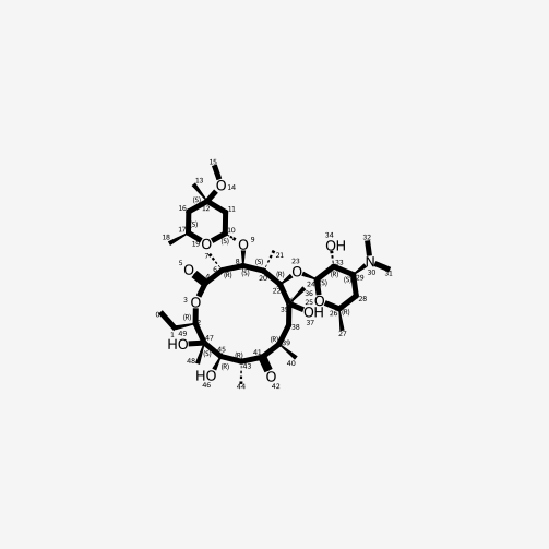 CC[C@H]1OC(=O)[C@H](C)[C@@H](O[C@H]2C[C@@](C)(OC)C[C@H](C)O2)[C@H](C)[C@@H](O[C@@H]2O[C@H](C)C[C@H](N(C)C)[C@H]2O)[C@](C)(O)C[C@@H](C)C(=O)[C@H](C)[C@@H](O)[C@]1(C)O